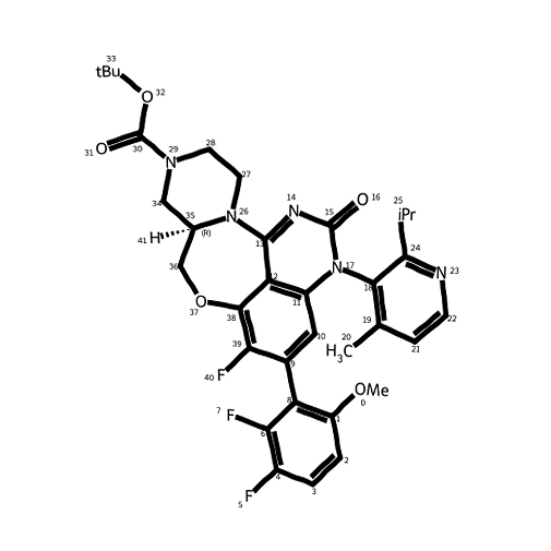 COc1ccc(F)c(F)c1-c1cc2c3c(nc(=O)n2-c2c(C)ccnc2C(C)C)N2CCN(C(=O)OC(C)(C)C)C[C@@H]2COc3c1F